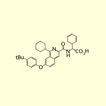 CC(C)(C)c1ccc(Oc2ccc3cc(C(=O)N[C@H](C(=O)O)C4C=CC=CC4)nc(C4CCCCC4)c3c2)cc1